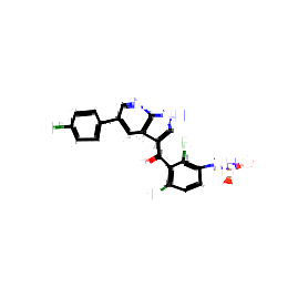 O=C(c1c(F)ccc(N[SH](=O)=O)c1F)c1c[nH]c2ncc(-c3ccc(Cl)cc3)cc12